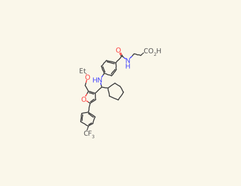 CCOCc1oc(-c2ccc(C(F)(F)F)cc2)cc1C(Nc1ccc(C(=O)NCCC(=O)O)cc1)C1CCCCC1